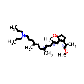 C=C(CCCN(CCC)CCC)CC/C(C)=C/C/C(C)=C/C1=C(C(/C)=C/OC)CCC1=O